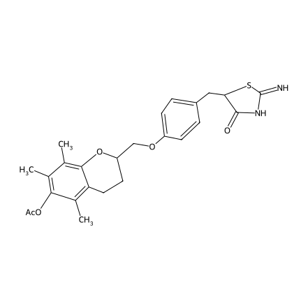 CC(=O)Oc1c(C)c(C)c2c(c1C)CCC(COc1ccc(CC3SC(=N)NC3=O)cc1)O2